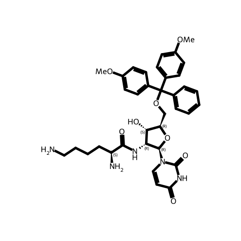 COc1ccc(C(OC[C@H]2O[C@@H](n3ccc(=O)[nH]c3=O)[C@H](NC(=O)[C@@H](N)CCCCN)[C@@H]2O)(c2ccccc2)c2ccc(OC)cc2)cc1